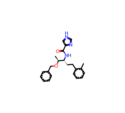 Cc1ccccc1CC[C@@H](NC(=O)c1c[nH]cn1)[C@H](C)OCc1ccccc1